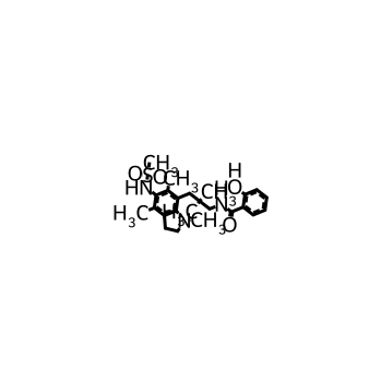 Cc1c2c(c(CC(C)(C)CNC(=O)c3ccccc3O)c(C)c1NS(C)(=O)=O)N(C)CC2